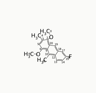 COc1c(C)cc(OC)c2c(C)c3ccc(F)cc3cc12